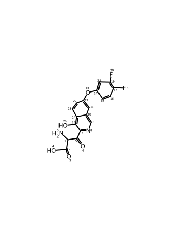 NC(C(=O)O)C(=O)c1ncc2cc(Oc3ccc(F)c(F)c3)ccc2c1O